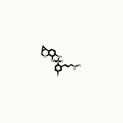 CC(C)NCC=Cc1cc(F)ccc1S(=O)(=O)Nc1ccc2c(c1C(=O)O)OCC1CC21